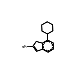 CCCC1=Cc2cccc(C3CCCCC3)c2C1